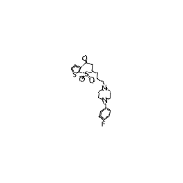 O=C1CC(CCCN2CCN(c3ccc(F)cc3)CC2)S(=O)(=O)c2sccc21